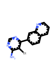 CCc1c(N)ncnc1-c1ccc2cccnc2c1